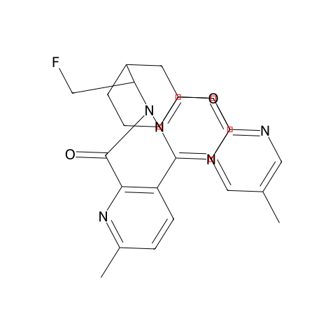 Cc1ccc(OC2CC3CCC2N(C(=O)c2nc(C)ccc2-c2ncccn2)C3CF)nc1